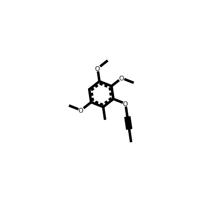 CC#COc1c(C)c(OC)cc(OC)c1OC